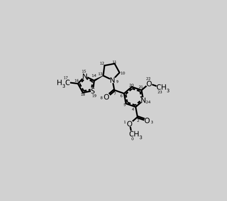 COC(=O)c1cc(C(=O)N2CCC[C@@H]2c2nc(C)cs2)cc(OC)n1